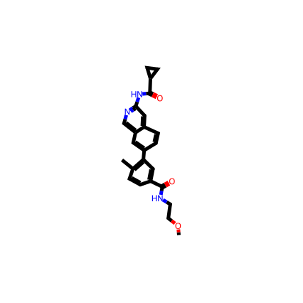 COCCNC(=O)c1ccc(C)c(-c2ccc3cc(NC(=O)C4CC4)ncc3c2)c1